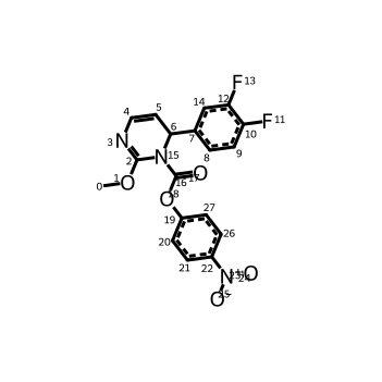 COC1=NC=CC(c2ccc(F)c(F)c2)N1C(=O)Oc1ccc([N+](=O)[O-])cc1